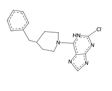 Clc1nc2ncnc-2c(N2CCC(Cc3ccccc3)CC2)[nH]1